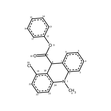 CN1c2ccccc2C(C(=O)Oc2ccccc2)c2c(Cl)cccc21